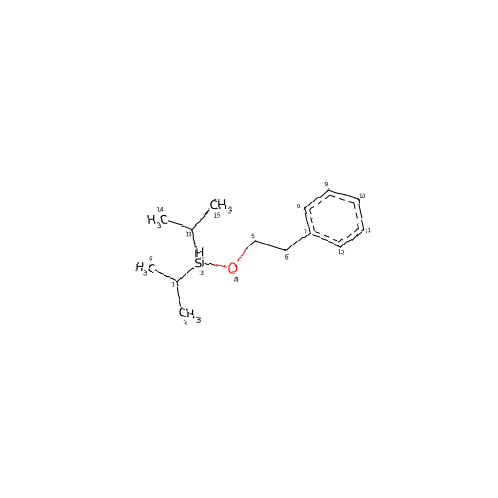 CC(C)[SiH](OCCc1ccccc1)C(C)C